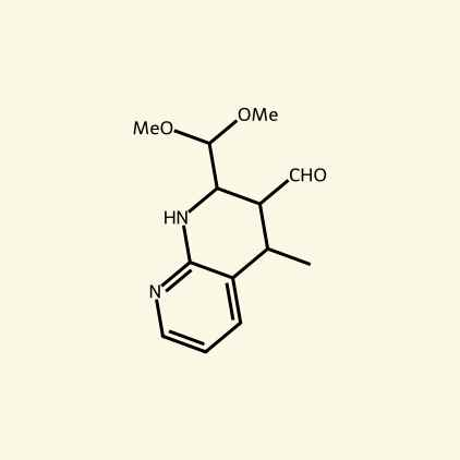 COC(OC)C1Nc2ncccc2C(C)C1C=O